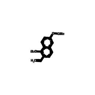 C=Cc1ccc2cc(OOC)ccc2c1OCC(C)C